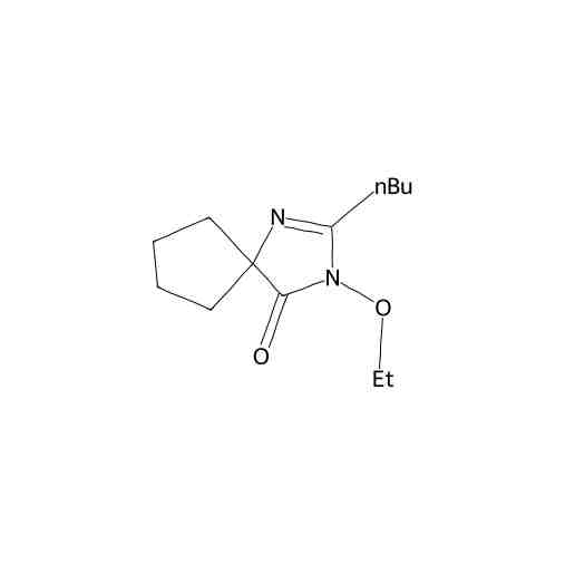 CCCCC1=NC2(CCCC2)C(=O)N1OCC